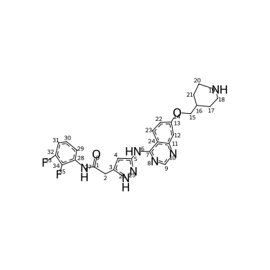 O=C(Cc1cc(Nc2ncnc3cc(OCC4CCNCC4)ccc23)n[nH]1)Nc1cccc(F)c1F